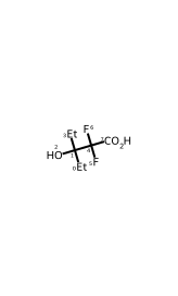 CCC(O)(CC)C(F)(F)C(=O)O